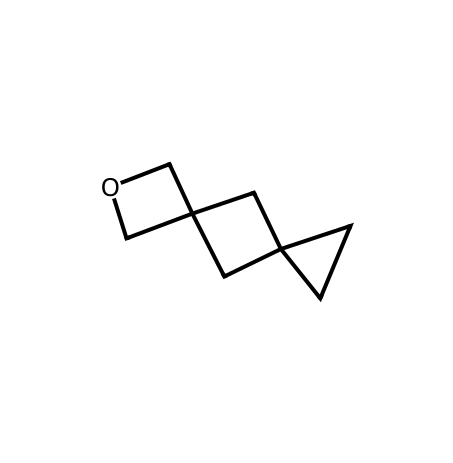 C1CC12CC1(COC1)C2